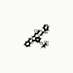 O=C(O)C(F)(F)F.O=C(O)CCCCCN(CC1CCCCC1)C(=O)c1cc(Cl)cc(OCCNc2ccncc2)c1